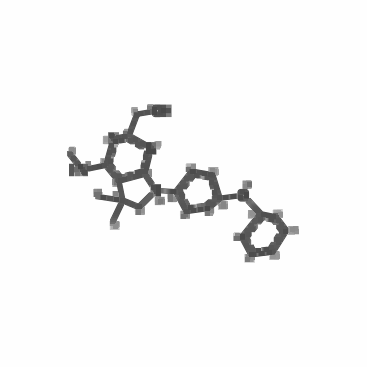 CNc1nc(CO)nc2c1C(C)(C)CN2c1ccc(Oc2ccccc2)cc1